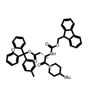 Cc1ccc(C(OC(=O)C[C@H](NC(=O)OCC2c3ccccc3-c3ccccc32)C(=O)N2CCC(C(C)(C)C)CC2)(c2ccccc2)c2ccccc2Cl)cc1